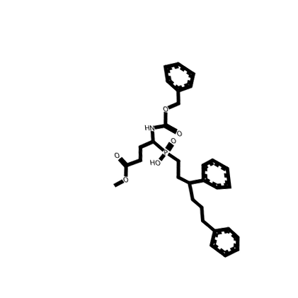 COC(=O)CCC(NC(=O)OCc1ccccc1)P(=O)(O)CCC(CCCc1ccccc1)c1ccccc1